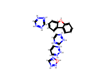 c1ccc2c(c1)oc1ccccc12.c1cnncn1.c1cnnnc1.c1nncnn1.c1nnon1